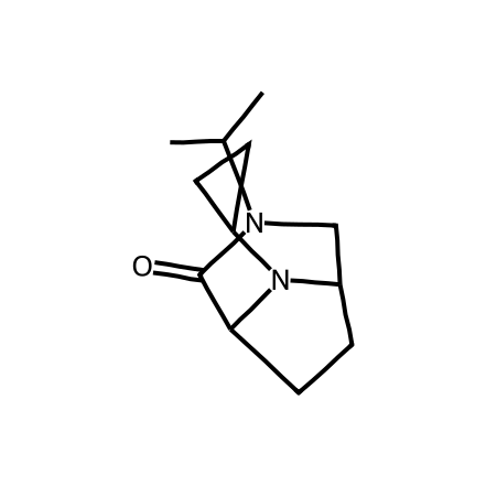 CC(C)N1CC2CCC(C1=O)N2C1CC1